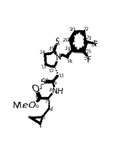 COC(=O)[C@H](CC1CC1)NC(=S)C[C@@H]1CCC(=S)N1Cc1cccc(F)c1F